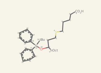 CCCCCCCCC(CCSCCCCC(=O)O)O[Si](c1ccccc1)(c1ccccc1)C(C)(C)C